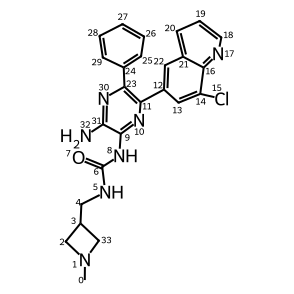 CN1CC(CNC(=O)Nc2nc(-c3cc(Cl)c4ncccc4c3)c(-c3ccccc3)nc2N)C1